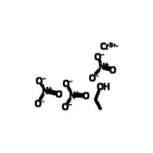 CCO.O=[N+]([O-])[O-].O=[N+]([O-])[O-].O=[N+]([O-])[O-].[Cr+3]